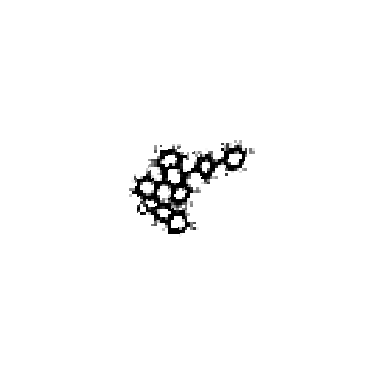 C1=Cc2cc3oc4cccc(-c5c6ccccc6c(-c6ccc(-c7ccccc7)cc6)c6ccccc56)c4c3cc2CC1